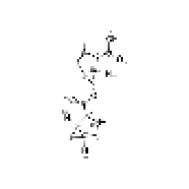 O=C(O[C@@H]1C2CN[C@@H](C(=O)O)[C@H]21)[C@H]1NC[C@H]2C[C@H]21